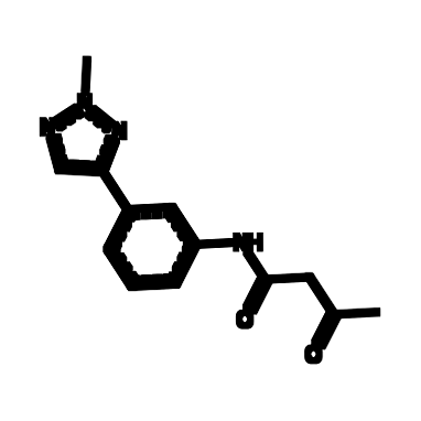 CC(=O)CC(=O)Nc1cccc(-c2cnn(C)n2)c1